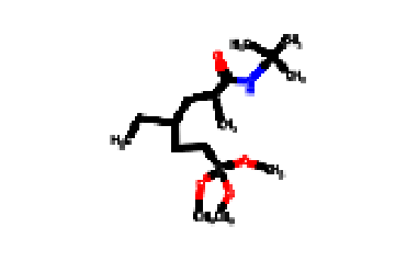 CCC(CC[Si](OC)(OC)OC)CC(C)C(=O)NC(C)(C)C